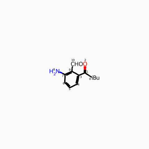 CCC(C)C(=O)c1cccc(N)c1C=O